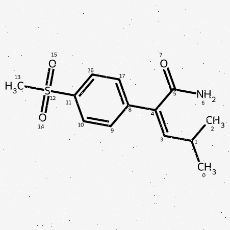 CC(C)C=C(C(N)=O)c1ccc(S(C)(=O)=O)cc1